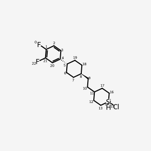 Fc1ccc([C@H]2CC[C@H](CCC3CC[SiH](Cl)CC3)CC2)cc1F